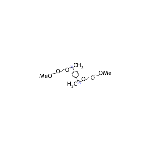 COCCOCCO/C=C(/C)c1ccc(/C(C)=C\OCCOCCOC)cc1